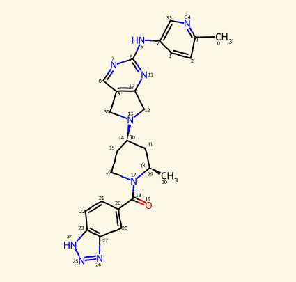 Cc1ccc(Nc2ncc3c(n2)CN([C@@H]2CCN(C(=O)c4ccc5[nH]nnc5c4)[C@H](C)C2)C3)cn1